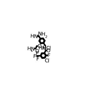 CNC(=O)COc1cc(C(=N)N)ccc1CNC(=O)c1cc(C(F)(F)F)cc(Cl)c1F.Cl